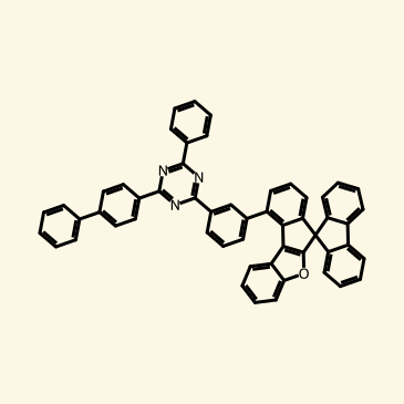 c1ccc(-c2ccc(-c3nc(-c4ccccc4)nc(-c4cccc(-c5cccc6c5-c5c(oc7ccccc57)C65c6ccccc6-c6ccccc65)c4)n3)cc2)cc1